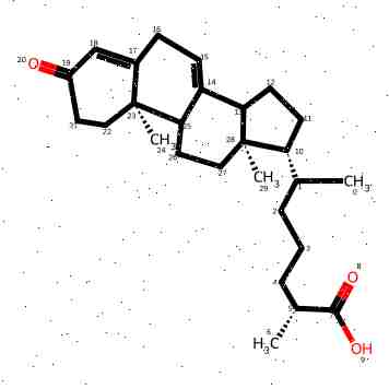 CC(CCC[C@@H](C)C(=O)O)[C@H]1CCC2C3=CCC4=CC(=O)CC[C@]4(C)C3CC[C@@]21C